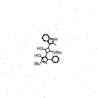 COC1C(c2c(-c3ccccc3)nn(C(C)(C)C)c2O)C(O)C1c1c(C)[nH]c2ccccc12